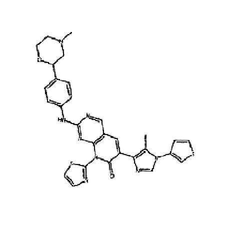 Cc1c(-c2cc3cnc(Nc4ccc(C5CN(C)CCO5)cc4)nc3n(-c3nccs3)c2=O)ncn1-c1ccsc1